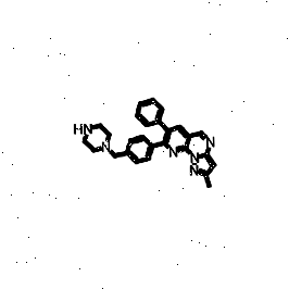 Cc1cc2ncc3cc(-c4ccccc4)c(-c4ccc(CN5CCNCC5)cc4)nc3n2n1